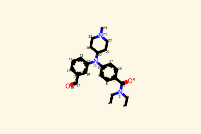 CCN(CC)C(=O)c1ccc(N(c2cccc(C=O)c2)C2CCN(C)CC2)cc1